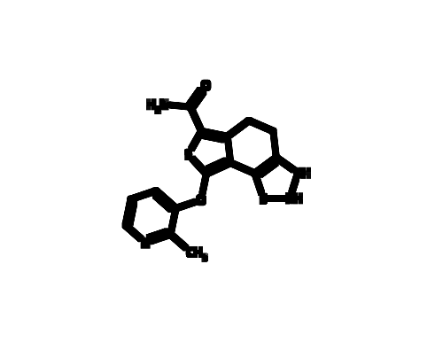 Cc1ncccc1Oc1sc(C(N)=O)c2c1C1=C(CC2)NNS1